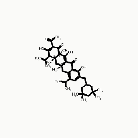 CC(=O)C1=C(O)C(C(C)C)[C@@]2(C)C[C@@]3(C)Cc4c(C(C)C)cc(CC5CC(C)(C)CC(C)(C)C5)c(O)c4C(=O)C3=C(O)[C@@]2(O)C1=O